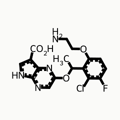 CC(Oc1cnc2[nH]cc(C(=O)O)c2n1)c1c(OCCN)ccc(F)c1Cl